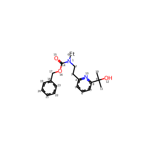 CCN(CCc1cccc(C(C)(C)O)n1)C(=O)OCc1ccccc1